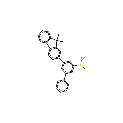 C[S+]([O-])c1cc(-c2ccccc2)cc(-c2ccc3c(c2)C(C)(C)c2ccccc2-3)c1